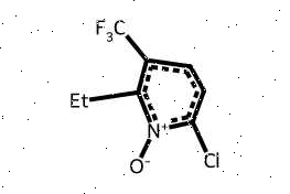 CCc1c(C(F)(F)F)ccc(Cl)[n+]1[O-]